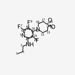 CCCNc1nc(F)c(F)c(N2CCS(=O)(=O)CC2)c1F